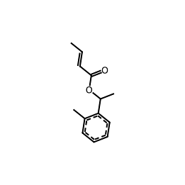 CC=CC(=O)OC(C)c1ccccc1C